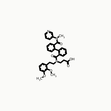 COc1cccc(CCN(CCC(=O)O)C(=O)c2ccccc2-c2ccccc2C(=O)N(C)c2cccnc2)c1OC